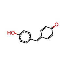 O=C1C=CC(=Cc2ccc(O)cc2)C=C1